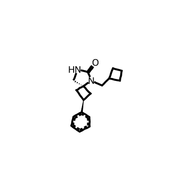 O=C1NC[C@]2(C[C@H](c3ccccc3)C2)N1CC1CCC1